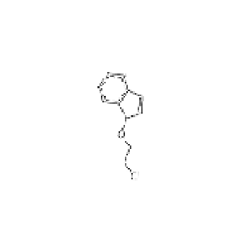 ClCCOC1C=Cc2[c]cccc21